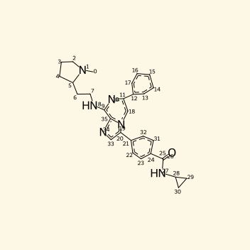 CN1CCCC1CCNc1nc(-c2ccccc2)cn2c(-c3ccc(C(=O)NC4CC4)cc3)cnc12